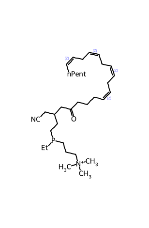 CCCCC/C=C\C/C=C\C/C=C\C/C=C\CCCC(=O)CC(CC#N)CCP(CC)CCC[N+](C)(C)C